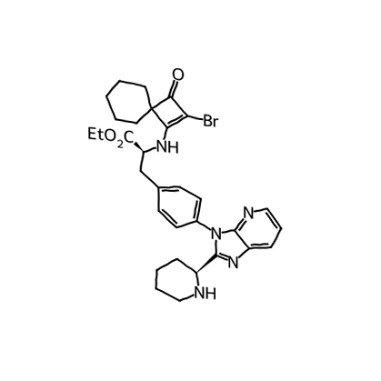 CCOC(=O)[C@H](Cc1ccc(-n2c([C@@H]3CCCCN3)nc3cccnc32)cc1)NC1=C(Br)C(=O)C12CCCCC2